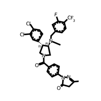 CC1=NN(c2ccc(C(=O)N3C[C@H](c4ccc(Cl)c(Cl)c4)[C@@H](N(C)Cc4ccc(C(F)(F)F)c(F)c4)C3)cc2)C(=O)C1